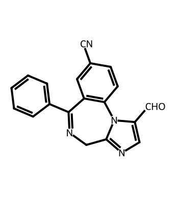 N#Cc1ccc2c(c1)C(c1ccccc1)=NCc1ncc(C=O)n1-2